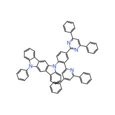 c1ccc(-c2cc(-c3ccccc3)nc(-c3cc(-c4nc(-c5ccccc5)cc(-c5ccccc5)n4)ccc3-n3c4ccccc4c4cc5c(cc43)c3ccccc3n5-c3ccccc3)c2)cc1